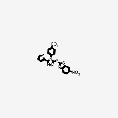 O=C(O)c1ccc(-n2c(Sc3nc4ccc([N+](=O)[O-])cc4s3)nnc2-c2cccs2)cc1